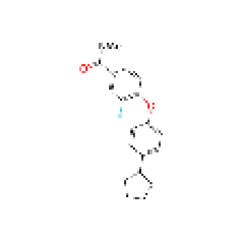 CNC(=O)c1ccc(Oc2ccc(C3CCCC3)cc2)c(F)c1